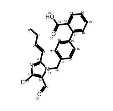 CCC=Cc1nc(Cl)c(C=O)n1Cc1ccc(-c2ccccc2C(=O)O)cc1